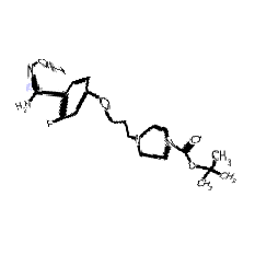 CC(C)(C)OC(=O)N1CCN(CCCOc2ccc(/C(N)=N\O)c(F)c2)CC1